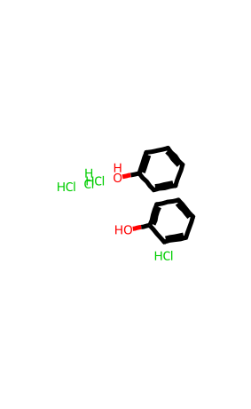 Cl.Cl.Cl.Cl.Oc1ccccc1.Oc1ccccc1